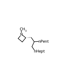 CCCCCCCCC(CCCCC)C[C@@H]1CCN1C